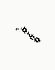 Cc1cc(OCCCC2CCN(c3ccc(F)cn3)CC2)ccc1C(=O)O